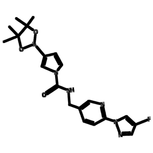 CC1(C)OB(c2ccn(C(=O)NCc3ccc(-n4cc(F)cn4)nc3)c2)OC1(C)C